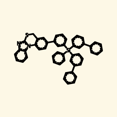 c1ccc(-c2cccc([Si](c3ccccc3)(c3cccc(-c4ccccc4)c3)c3cccc(-c4ccc5c(c4)CSc4nc6ccccc6n4-5)c3)c2)cc1